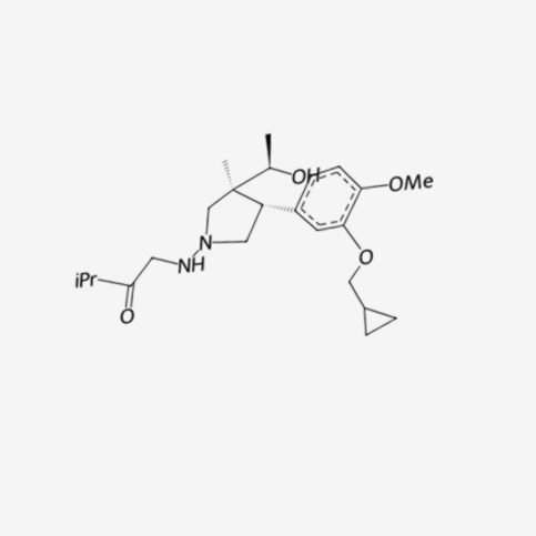 COc1ccc([C@@H]2CN(NCC(=O)C(C)C)C[C@@]2(C)[C@@H](C)O)cc1OCC1CC1